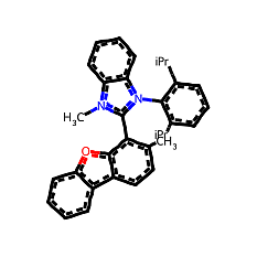 Cc1ccc2c(oc3ccccc32)c1-c1n(-c2c(C(C)C)cccc2C(C)C)c2ccccc2[n+]1C